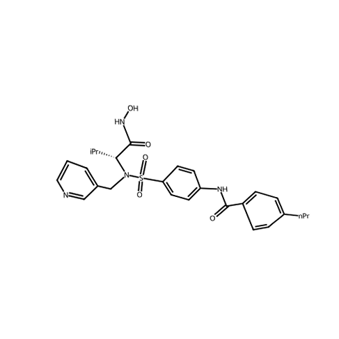 CCCc1ccc(C(=O)Nc2ccc(S(=O)(=O)N(Cc3cccnc3)[C@@H](C(=O)NO)C(C)C)cc2)cc1